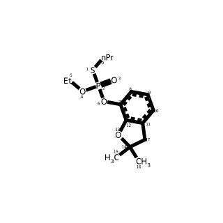 CCCSP(=O)(OCC)Oc1cccc2c1OC(C)(C)C2